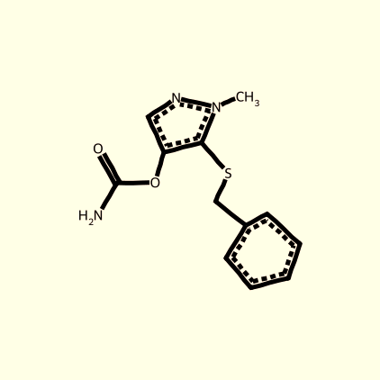 Cn1ncc(OC(N)=O)c1SCc1ccccc1